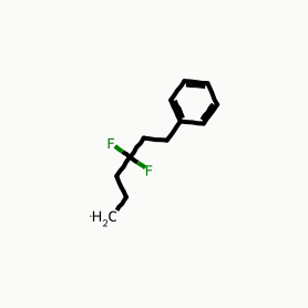 [CH2]CCC(F)(F)CCc1ccccc1